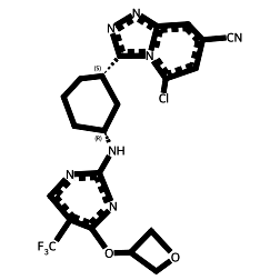 N#Cc1cc(Cl)n2c([C@H]3CCC[C@@H](Nc4ncc(C(F)(F)F)c(OC5COC5)n4)C3)nnc2c1